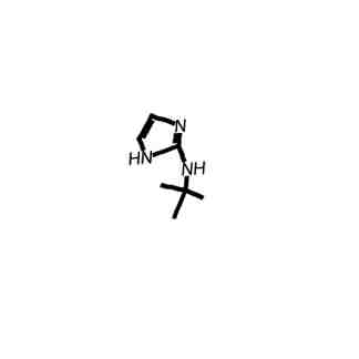 CC(C)(C)Nc1ncc[nH]1